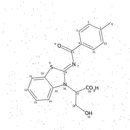 Cc1ccc(C(=O)N=c2sc3ccccc3n2C(CO)C(=O)O)cc1